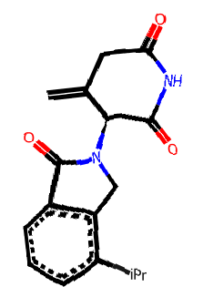 C=C1CC(=O)NC(=O)[C@H]1N1Cc2c(cccc2C(C)C)C1=O